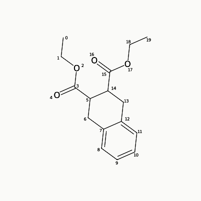 CCOC(=O)C1Cc2ccccc2CC1C(=O)OCC